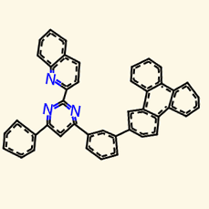 c1ccc(-c2cc(-c3cccc(-c4ccc5c6ccccc6c6ccccc6c5c4)c3)nc(-c3ccc4ccccc4n3)n2)cc1